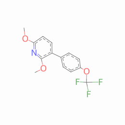 COc1ccc(-c2ccc(OC(F)(F)F)cc2)c(OC)n1